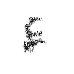 CCn1nc(C)cc1C(=O)Nc1nc2cc(C(N)=O)ccc2n1CCCCOc1cc2sc(C(=O)CCC(=O)OC)cc2cc1OC